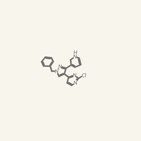 Clc1nccc(-c2cn(Cc3ccccc3)nc2C2=CC=CNC2)n1